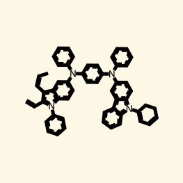 C=Cc1c(/C=C\C)c2cc(N(c3ccccc3)c3ccc(N(c4ccccc4)c4ccc5c(c4)c4ccccc4n5C4=CC=CCC4)cc3)ccc2n1-c1ccccc1